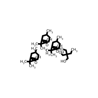 CC1CCC2C(C)(C)C2(C(=O)O)C1.CC1CCC2C(C)(C)C2(C(=O)O)C1.CC1CCC2C(C)(C)C2(C(=O)O)C1.CCC(CO)(CO)CO